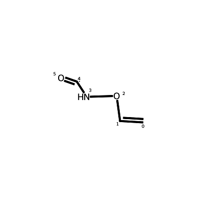 C=CON[C]=O